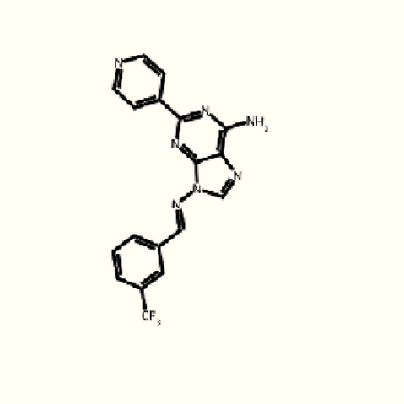 Nc1nc(-c2ccncc2)nc2c1ncn2N=Cc1cccc(C(F)(F)F)c1